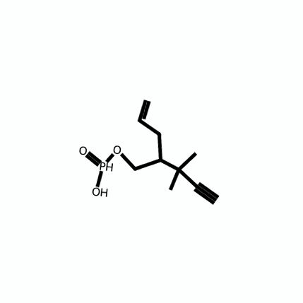 C#CC(C)(C)C(CC=C)CO[PH](=O)O